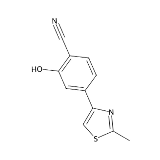 Cc1nc(-c2ccc(C#N)c(O)c2)cs1